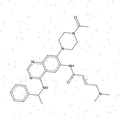 CC(=O)N1CCN(c2cc3ncnc(NC(C)c4ccccc4)c3cc2NC(=O)/C=C/CN(C)C)CC1